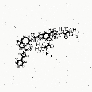 CC(C)(C)C(=O)OCOP(=O)(OCOC(=O)C(C)(C)C)C(F)(F)c1ccc2sc(C(=O)N[C@H]3CCC[C@H]4CC[C@@H](C(=O)N5CC(c6cccnc6)C5)N4C3=O)cc2c1